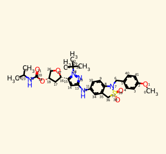 COc1ccc(CN2c3ccc(Nc4cc([C@@H]5C[C@H](OC(=O)NC(C)C)CO5)n(C(C)(C)C)n4)cc3CS2(=O)=O)cc1